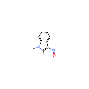 Cc1c(N=O)c2ccccc2n1C